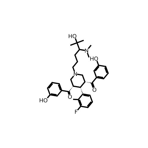 Cc1c(F)cccc1[C@H]1[C@@H](C(=O)c2cccc(O)c2)CN(CCCC(N(C)C)C(C)(C)O)C[C@H]1C(=O)c1cccc(O)c1